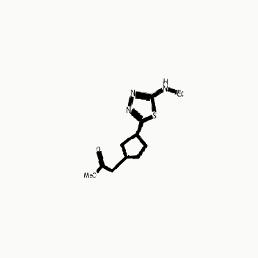 CCNc1nnc(C2CCC(CC(=O)OC)C2)s1